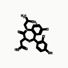 CC(C)CN1C(=O)C(CC(=O)O)SC(c2ccc(O)cc2Cl)c2cc(Cl)ccc21